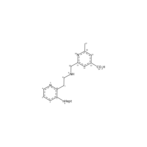 CCCCCCCc1cccnc1CCNCc1cc(C(=O)O)cc(C)n1